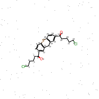 O=C(CCCCCl)c1ccc2c(c1)Cc1cc(C(=O)CCCCCl)ccc1S2